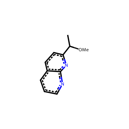 COC(C)c1ccc2cccnc2n1